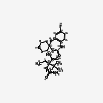 CC[C@@](OC(N)=O)(C(=O)N[C@H]1C(=O)Nc2ccc(F)cc2OC12CCOCC2)C(C)(C)C